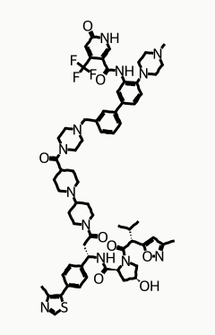 Cc1cc([C@H](C(=O)N2C[C@H](O)C[C@H]2C(=O)N[C@@H](CC(=O)N2CCC(N3CCC(C(=O)N4CCN(Cc5cccc(-c6ccc(N7CCN(C)CC7)c(NC(=O)c7c[nH]c(=O)cc7C(F)(F)F)c6)c5)CC4)CC3)CC2)c2ccc(-c3scnc3C)cc2)C(C)C)on1